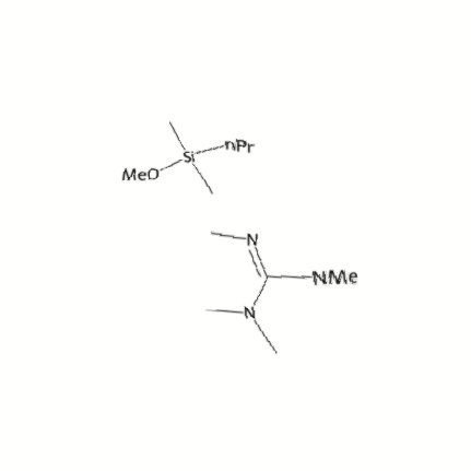 CCC[Si](C)(C)OC.CN=C(NC)N(C)C